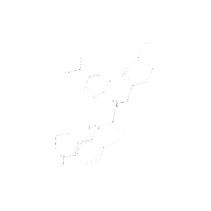 COc1ccc(CN(C(=O)Nc2c(C)ccc3c2CCCN3)c2ccc(C(C)C)cc2)cc1